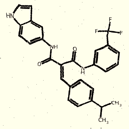 CC(C)c1ccc(C=C(C(=O)Nc2cccc(C(F)(F)F)c2)C(=O)Nc2ccc3[nH]ccc3c2)cc1